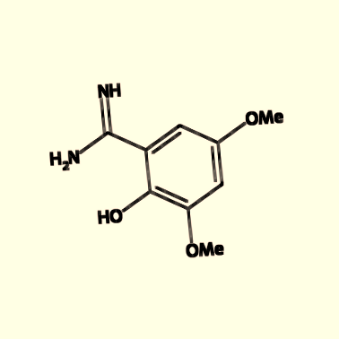 COc1cc(OC)c(O)c(C(=N)N)c1